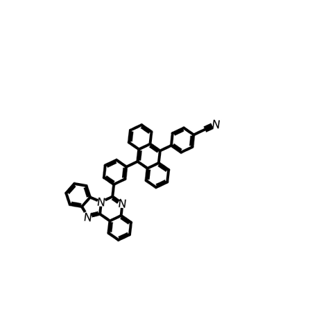 N#Cc1ccc(-c2c3ccccc3c(-c3cccc(-c4nc5ccccc5c5nc6ccccc6n45)c3)c3ccccc23)cc1